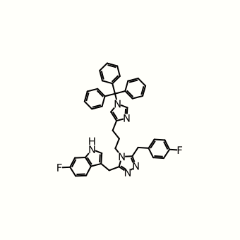 Fc1ccc(Cc2nnc(Cc3c[nH]c4cc(F)ccc34)n2CCCc2cn(C(c3ccccc3)(c3ccccc3)c3ccccc3)cn2)cc1